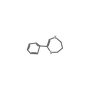 C1=C(c2ccccc2)SCCCS1